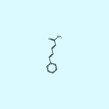 NC(=O)/C=C/C=C/c1ccccc1